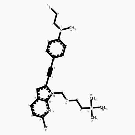 CN(CCF)c1ccc(C#Cc2cc3ccc(Br)nc3n2COCCS(C)(C)C)cc1